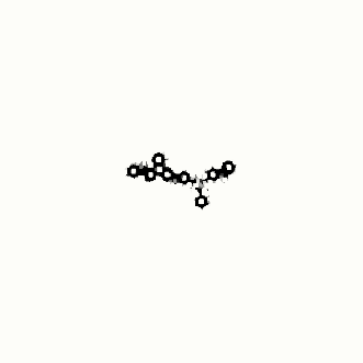 c1ccc(-c2nc(-c3ccc4c(c3)oc3ccccc34)nc(-c3ccc4c(c3)sc3ccc(-c5ccccc5-c5cccc6c5oc5ccccc56)cc34)n2)cc1